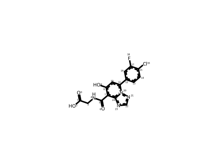 O=C(O)CNC(=O)c1c(O)cc(-c2ccc(Cl)c(F)c2)n2ncnc12